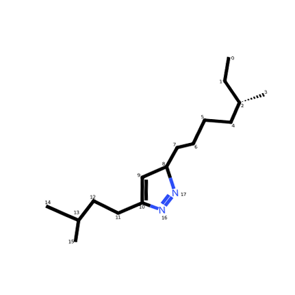 CC[C@H](C)CCCCC1C=C(CCC(C)C)N=N1